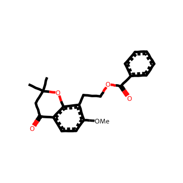 COc1ccc2c(c1CCOC(=O)c1ccccc1)OC(C)(C)CC2=O